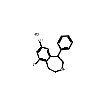 Cl.Oc1cc(Cl)c2c(c1)C(c1ccccc1)CNCC2